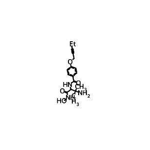 CCC#CCOc1ccc(C(=O)NC(C(=O)NO)C(C)(C)N)cc1